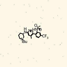 CCC(C)N1CCC[C@@H](Nc2cc(C)c(-c3ccc(C(F)(F)F)cc3NS(C)(=O)=O)nn2)C1